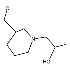 CC(O)CN1CCCC(C[O])C1